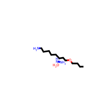 CCCCOCCCCCCCCN.NN.O